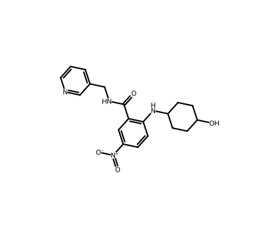 O=C(NCc1cccnc1)c1cc([N+](=O)[O-])ccc1NC1CCC(O)CC1